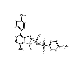 COc1ccc(-c2ccc([N+](=O)[O-])c3c2cc(C(=O)NS(=O)(=O)c2ccc(OC)cc2)n3C)cc1